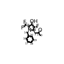 CC(=O)C[C@@H]1[C@@H](F)[C@H](O)[C@@H](C(F)F)N1Cc1ccccc1